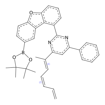 C=C/C=C\C=C(/C)c1cc(-c2ccccc2)nc(-c2cccc3oc4ccc(B5OC(C)(C)C(C)(C)O5)cc4c23)n1